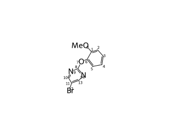 COc1ccccc1Oc1ncc(Br)cn1